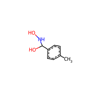 Cc1ccc(C(O)NO)cc1